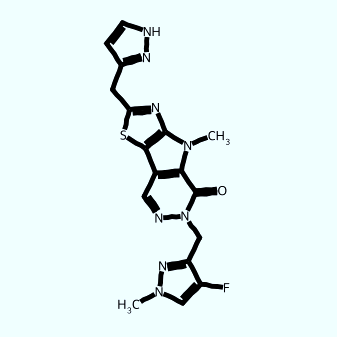 Cn1cc(F)c(Cn2ncc3c4sc(Cc5cc[nH]n5)nc4n(C)c3c2=O)n1